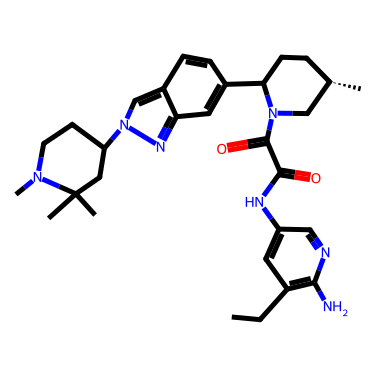 CCc1cc(NC(=O)C(=O)N2C[C@@H](C)CCC2c2ccc3cn(C4CCN(C)C(C)(C)C4)nc3c2)cnc1N